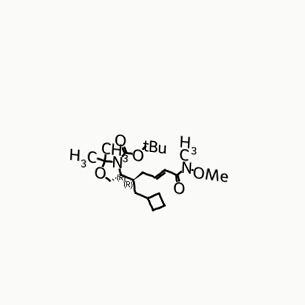 CON(C)C(=O)C=CC[C@@H](CC1CCC1)[C@@H]1COC(C)(C)N1C(=O)OC(C)(C)C